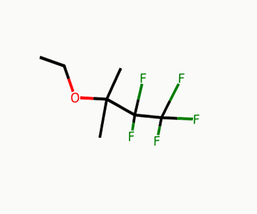 CCOC(C)(C)C(F)(F)C(F)(F)F